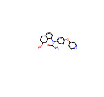 NC(=O)N(c1ccc(Oc2ccncc2)cc1)c1cccc2c1CC(O)CC2